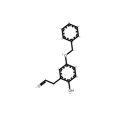 O=CCc1cc(OCc2ccccc2)ccc1O